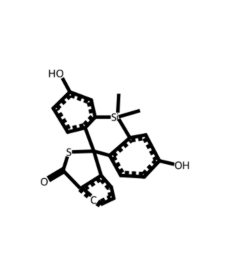 C[Si]1(C)c2cc(O)ccc2C2(SC(=O)c3ccccc32)c2ccc(O)cc21